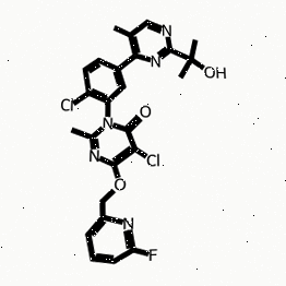 Cc1cnc(C(C)(C)O)nc1-c1ccc(Cl)c(-n2c(C)nc(OCc3cccc(F)n3)c(Cl)c2=O)c1